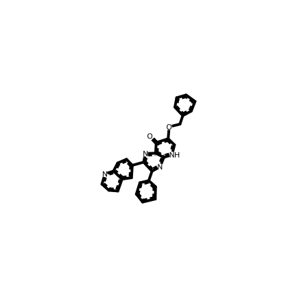 O=c1c(OCc2ccccc2)c[nH]c2nc(-c3ccccc3)c(-c3ccc4ncccc4c3)nc12